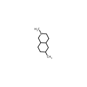 CC1CCC2CN(C)CCC2C1